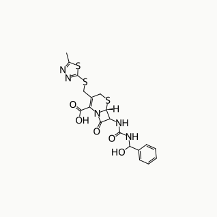 Cc1nnc(SCC2=C(C(=O)O)N3C(=O)C(NC(=O)NC(O)c4ccccc4)[C@H]3SC2)s1